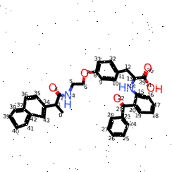 CC(C(=O)NCCOc1ccc(CC(Nc2ccccc2C(=O)c2ccccc2)C(=O)O)cc1)c1ccc2ccccc2c1